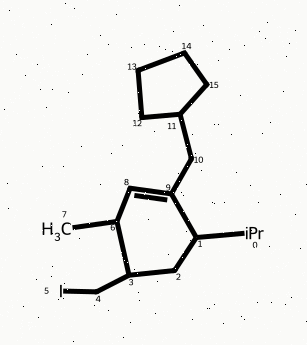 CC(C)C1CC(CI)C(C)C=C1CC1CCCC1